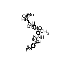 Cc1cc(Nc2nccn3c(-c4ccc(OC(F)F)cc4)cnc23)ccc1C(=O)N1CCN(C(=O)NCCNC(=O)OC(C)(C)C)CC1